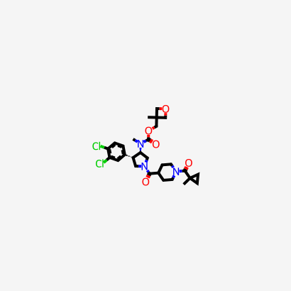 CN(C(=O)OCC1(C)COC1)[C@H]1CN(C(=O)C2CCN(C(=O)C3(C)CC3)CC2)C[C@@H]1c1ccc(Cl)c(Cl)c1